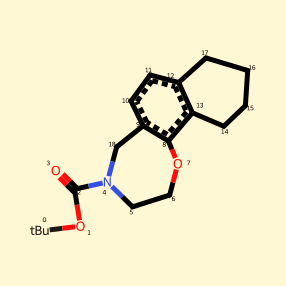 CC(C)(C)OC(=O)N1CCOc2c(ccc3c2CCCC3)C1